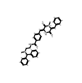 CN(CCNC(=O)c1ccc(C=c2[nH]c(=O)c(=Cc3ccccc3)n(C)c2=O)cc1)C(c1ccccc1)c1ccccc1